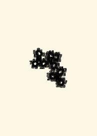 c1ccc(-n2c3ccccc3c3ccc(N(c4ccc(-c5cccc6c5c5ccccc5n6-c5ccccc5)cc4)c4cccc5ccccc45)cc32)cc1